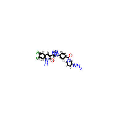 N[C@H]1CCCN(C(=O)c2ccc(-n3cc(-c4cc5cc(F)c(F)cc5[nH]c4=O)nn3)cc2)C1